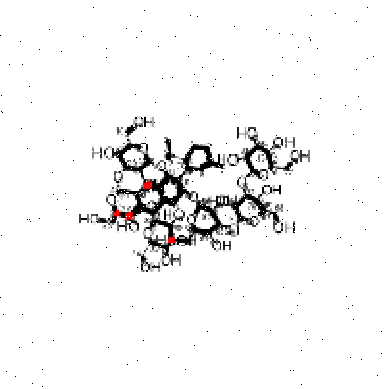 C=C(C)[C@@H]1CCC(C)=C[C@H]1c1c(O[C@H]2O[C@@H](CO)[C@H](O)[C@@H](O[C@H]3O[C@@H](CO)[C@H](O)[C@@H](O[C@H]4O[C@@H](CO)[C@H](O)[C@@H](O)[C@@H]4O)[C@@H]3O)[C@@H]2O)cc(CCCCC)cc1O[C@@H]1O[C@H](CO)[C@@H](O)[C@H](O[C@@H]2O[C@H](CO)[C@@H](O)[C@H](O[C@@H]3O[C@H](CO)[C@@H](O)[C@H](O)[C@H]3O)[C@H]2O)[C@H]1O